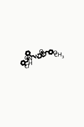 COc1ccc(CN2CCC3(CCN(CCC(NC(=O)Cc4ccccc4Cl)c4ccccc4)CC3)C2=O)cc1